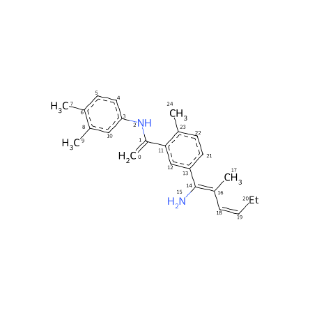 C=C(Nc1ccc(C)c(C)c1)c1cc(/C(N)=C(C)/C=C\CC)ccc1C